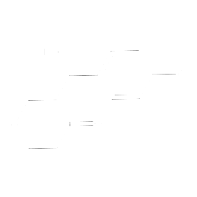 O=C1CCOCC1C(O)c1ccc(Cl)cc1